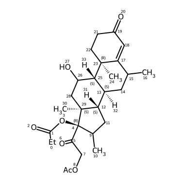 CCC(=O)O[C@]1(C(=O)COC(C)=O)C(C)C[C@H]2[C@@H]3CC(C)C4=CC(=O)CC[C@]4(C)[C@H]3C(O)C[C@@]21C